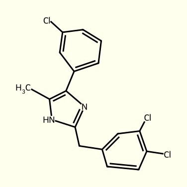 Cc1[nH]c(Cc2ccc(Cl)c(Cl)c2)nc1-c1cccc(Cl)c1